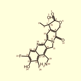 CC[C@@]1(O)C(=O)OCc2c1cc1n(c2=O)Cc2c-1nc1cc(F)c(O)c(F)c1c2CN